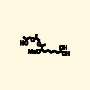 COC(CCCCCC(O)O)C(C)OCC(C)OCC(C)O